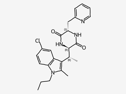 CCCn1c(C)c([C@@H](C)[C@H]2NC(=O)[C@H](Cc3ccccn3)NC2=O)c2cc(Cl)ccc21